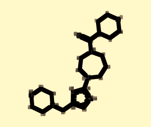 O=C(C1CCOCC1)N1CCCN(c2ncc(CN3CCOCC3)s2)CC1